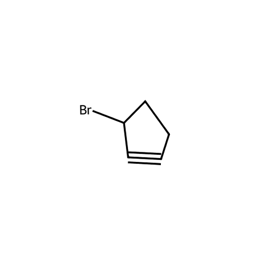 BrC1C#CCC1